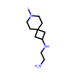 NCCNC1CC2(CCN(I)CC2)C1